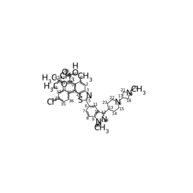 Cc1cc2nc(-c3ccc4c(c3)c(C3CCN(C5CN(C)C5)CC3)nn4C)sc2c(-c2ccc(Cl)cc2)c1[C@H](OC(C)(C)C)C(=O)O